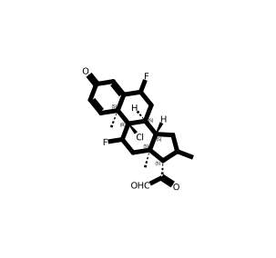 CC1C[C@H]2[C@@H]3CC(F)C4=CC(=O)C=C[C@]4(C)[C@@]3(Cl)C(F)C[C@]2(C)[C@H]1C(=O)C=O